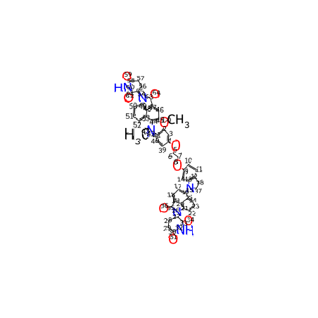 COc1cc(OCCOc2ccc3c(c2)N(c2ccc4c5c(cccc25)N(C2CCC(=O)NC2=O)C4=O)CC3)ccc1N(C)c1ccc2c3c(cccc13)N(C1CCC(=O)NC1=O)C2=O